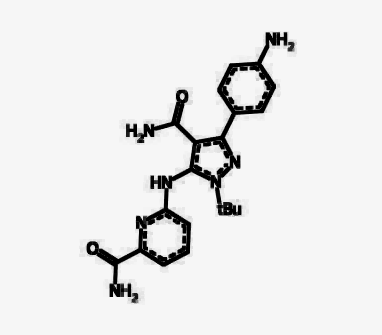 CC(C)(C)n1nc(-c2ccc(N)cc2)c(C(N)=O)c1Nc1cccc(C(N)=O)n1